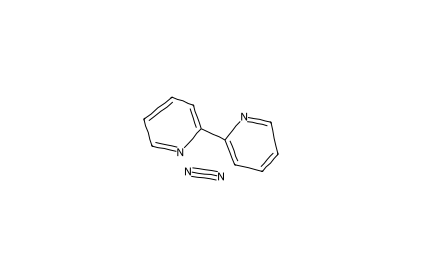 N#N.c1ccc(-c2ccccn2)nc1